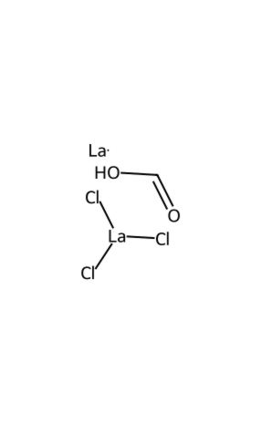 O=CO.[Cl][La]([Cl])[Cl].[La]